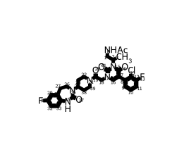 CC(=O)NCC(C)n1c(=O)c(-c2cccc(F)c2Cl)cn(CC(=O)N2CCC(N3CCc4cc(F)ccc4NC3=O)CC2)c1=O